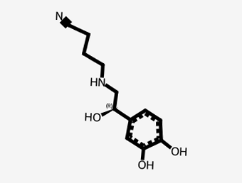 N#CCCCNC[C@H](O)c1ccc(O)c(O)c1